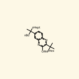 CCCCCCCC(C)(CCCC)c1ccc2nc(C(C)(C)CCCCCC)c(OC)nc2c1